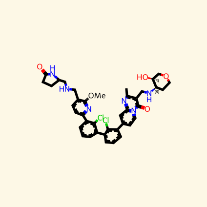 COc1nc(-c2cccc(-c3cccc(-c4ccn5c(=O)c(CN[C@@H]6CCOC[C@@H]6O)c(C)nc5c4)c3Cl)c2Cl)ccc1CNCC1CCC(=O)N1